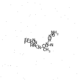 Cc1c(CN2CCC(Nc3ncnc4sc(CC(F)(F)F)cc34)CC2)ccc2c1cc(C#N)n2CCN1CCN(CC(N)=O)CC1